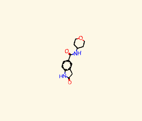 O=C1Cc2cc(C(=O)NC3CCOCC3)ccc2N1